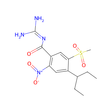 CCC(CC)c1cc([N+](=O)[O-])c(C(=O)N=C(N)N)cc1S(C)(=O)=O